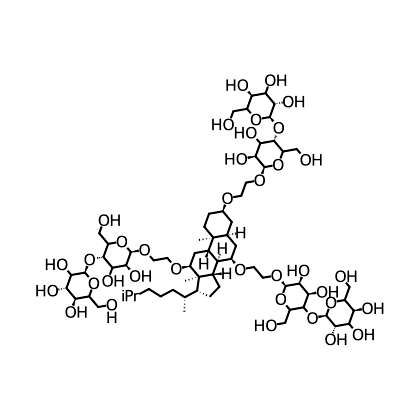 CC(C)CCC[C@@H](C)[C@H]1CC[C@H]2[C@@H]3[C@H](OCCO[C@@H]4OC(CO)C(O[C@H]5OC(CO)[C@@H](O)C(O)[C@@H]5O)[C@H](O)[C@@H]4O)C[C@@H]4C[C@H](OCCO[C@@H]5OC(CO)[C@@H](O[C@H]6OC(CO)[C@@H](O)C(O)[C@@H]6O)C(O)[C@@H]5O)CC[C@]4(C)[C@H]3C[C@H](OCCO[C@@H]3OC(CO)[C@@H](O[C@H]4OC(CO)[C@@H](O)[C@H](O)C4O)C(O)[C@@H]3O)[C@]12C